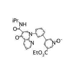 CCOC(=O)c1cc(-c2cccc(-n3cc(C(=O)NC(C)C)c(=O)c4cccnc43)c2)c[n+]([O-])c1